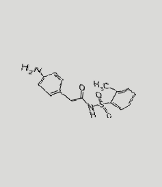 Cc1ccccc1S(=O)(=O)NC(=O)Cc1ccc(N)cc1